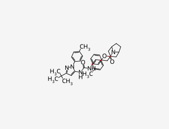 Cc1ccc(OC(=O)N2C3CCC2CC(Cc2cccc(NC(=O)Nc4cc(C(C)(C)C)nn4-c4ccc(C)cc4)c2)C3)cc1